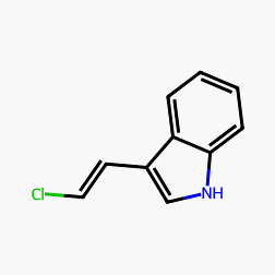 Cl/C=C/c1c[nH]c2ccccc12